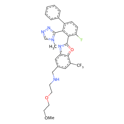 COCCOCCNCc1cc(C(F)(F)F)c2oc(-c3c(F)ccc(-c4ccccc4)c3-c3nncn3C)nc2c1